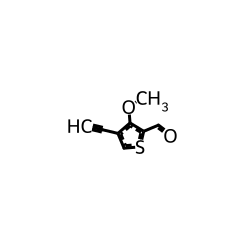 C#Cc1csc(C=O)c1OC